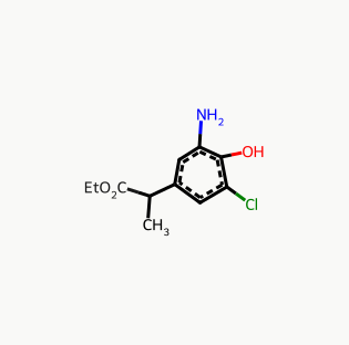 CCOC(=O)C(C)c1cc(N)c(O)c(Cl)c1